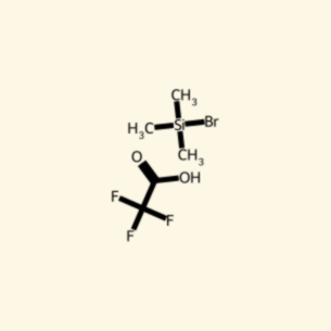 C[Si](C)(C)Br.O=C(O)C(F)(F)F